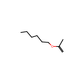 C=C(C)OCCCCCC